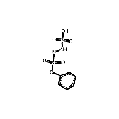 O=S(=O)(O)NNS(=O)(=O)Oc1ccccc1